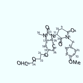 COc1ccc(CN2C(=O)CCC(n3c(=O)n(C)c4cc(OCCOCC=O)ccc43)C2=O)cc1